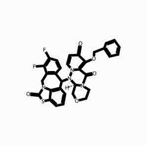 O=C1c2c(OCc3ccccc3)c(=O)ccn2N(C2c3ccc(F)c(F)c3Cn3c(=O)sc4cccc2c43)[C@@H]2COCCN12